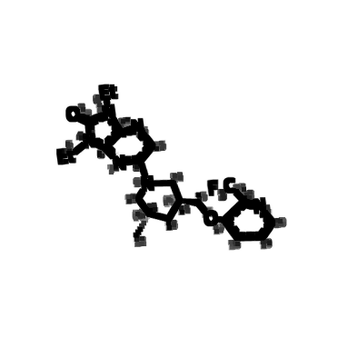 CCn1c(=O)n(CC)c2nc(N3C[C@@H](C)C[C@H](COc4cccnc4C(F)(F)F)C3)cnc21